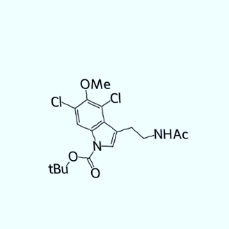 COc1c(Cl)cc2c(c(CCNC(C)=O)cn2C(=O)OC(C)(C)C)c1Cl